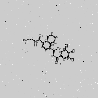 O=C(NCC(F)(F)F)c1ccc(/C(F)=C/C(c2cc(Cl)c(Cl)c(Cl)c2)C(F)(F)F)c2ccccc12